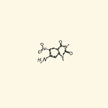 Cn1c(=O)c2cc([N+](=O)[O-])c(N)cc2n(C)c1=O